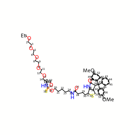 CCOCCOCCOCCOCCOCCNP(=S)(OCCCCCNC(=O)CCCC1SCC2C1NC(=O)C2C(c1ccccc1)(c1ccc(OC)cc1)c1ccc(OC)cc1)OC(C)(C)C